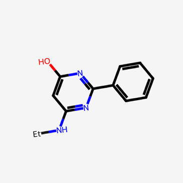 CCNc1cc(O)nc(-c2ccccc2)n1